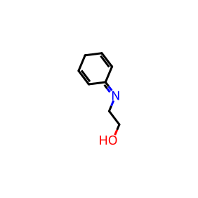 OCCN=C1C=CCC=C1